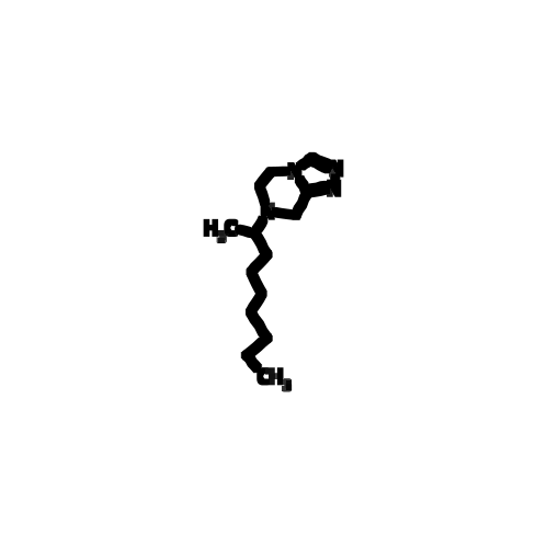 CCCCCCCC(C)N1CCn2cnnc2C1